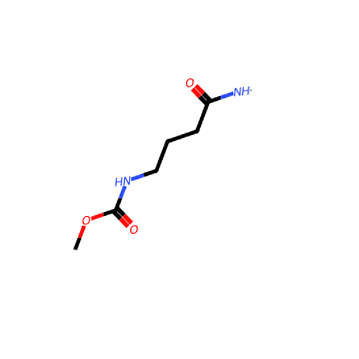 COC(=O)NCCCC([NH])=O